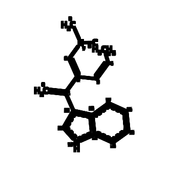 C=C(C(/C=C\C)=C/N(C)C)c1c[nH]c2ccccc12